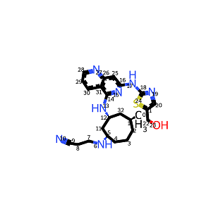 C[C@H]1CCC[C@@H](NCCC#N)C[C@@H](Nc2nc(Nc3ncc(CO)s3)cc3ncccc23)C1